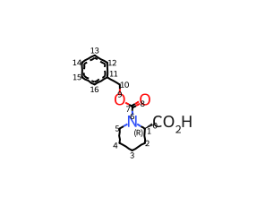 O=C(O)[C@H]1CCCCN1C(=O)OCc1ccccc1